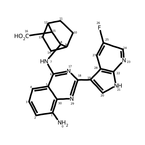 Nc1cccc2c(NC3C4CCC(CC4)C3C(=O)O)nc(-c3c[nH]c4ncc(F)cc34)nc12